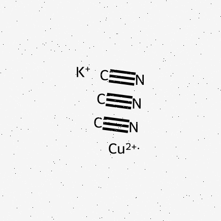 [C-]#N.[C-]#N.[C-]#N.[Cu+2].[K+]